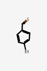 CCc1ccc([C]=S)cc1